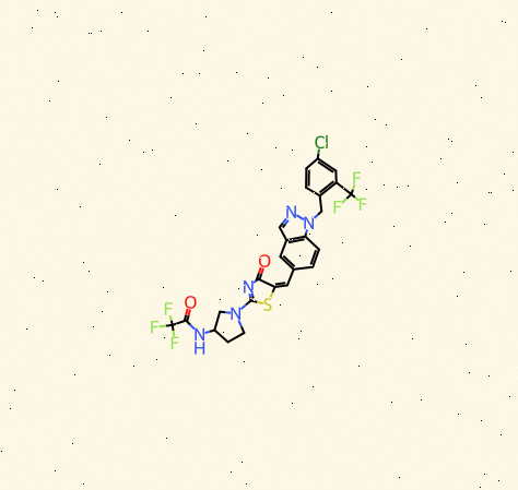 O=C1N=C(N2CCC(NC(=O)C(F)(F)F)C2)SC1=Cc1ccc2c(cnn2Cc2ccc(Cl)cc2C(F)(F)F)c1